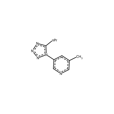 CCCc1nnnn1-c1cncc(C)c1